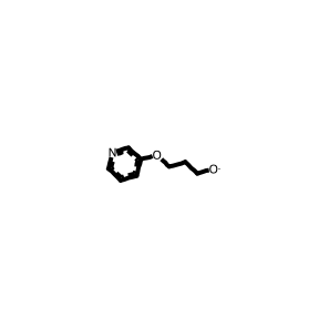 [O]CCCOc1cccnc1